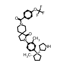 Cc1cc([N+]2([C@@H]3CCNC3)CCC[C@@H]2C)ccc1N1CCC2(CCN(C(=O)c3ccc(OC(F)(F)F)cc3)CC2)C1=O